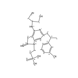 CC(C)CC(CO)Nc1nc(SC(C)c2cccc(C#N)c2)nc2c1sc(=N)n2COP(=O)(O)O